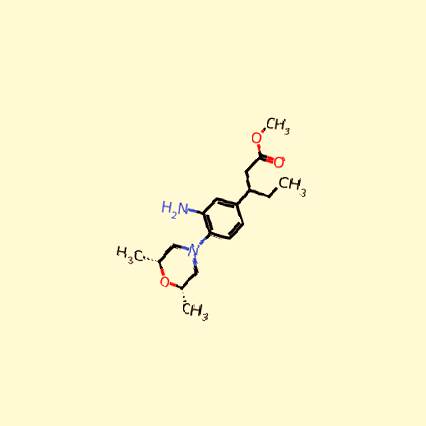 CCC(CC(=O)OC)c1ccc(N2C[C@@H](C)O[C@@H](C)C2)c(N)c1